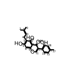 CC(C)=CCc1c(O)cc2occ(-c3ccc(C)cc3O)c(=O)c2c1O